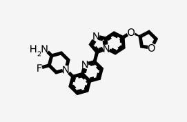 NC1CCN(c2cccc3ccc(-c4cnc5cc(O[C@H]6CCOC6)ccn45)nc23)CC1F